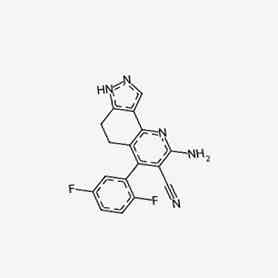 N#Cc1c(N)nc2c(c1-c1cc(F)ccc1F)CCc1[nH]ncc1-2